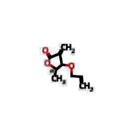 C=CCOC1C(=C)C(=O)O[C@@H]1C